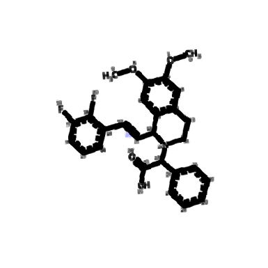 COc1cc2c(cc1OC)C(/C=C/c1cccc(F)c1F)N(C(C(=O)O)c1ccccc1)CC2